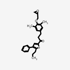 CCCc1sc(C(=O)CCc2cc(C)c(OCC3CO3)c(C)c2)cc1-c1ccccc1